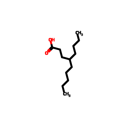 CCCCCC(CCCC)CCC(=O)O